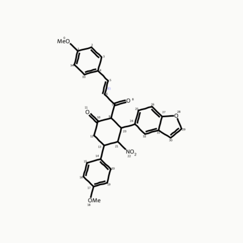 COc1ccc(/C=C/C(=O)C2C(=O)CC(c3ccc(OC)cc3)C([N+](=O)[O-])C2c2ccc3occc3c2)cc1